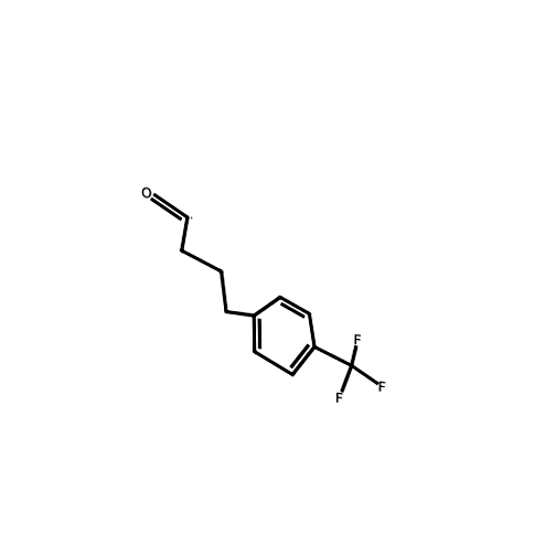 O=[C]CCCc1ccc(C(F)(F)F)cc1